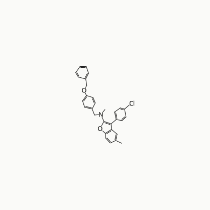 Cc1ccc2oc(N(C)Cc3ccc(OCc4ccccc4)cc3)c(-c3ccc(Cl)cc3)c2c1